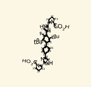 CC(C)(C)c1cc(-c2ccc(-c3c[nH]c([C@@H]4CCCN4C(=O)O)n3)cc2)c(C(C)(C)C)c(F)c1-c1c[nH]c([C@@H]2CCCN2C(=O)O)n1